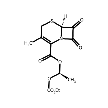 CCOC(=O)O[C@H](C)OC(=O)C1=C(C)CS[C@H]2C(=O)C(=O)N12